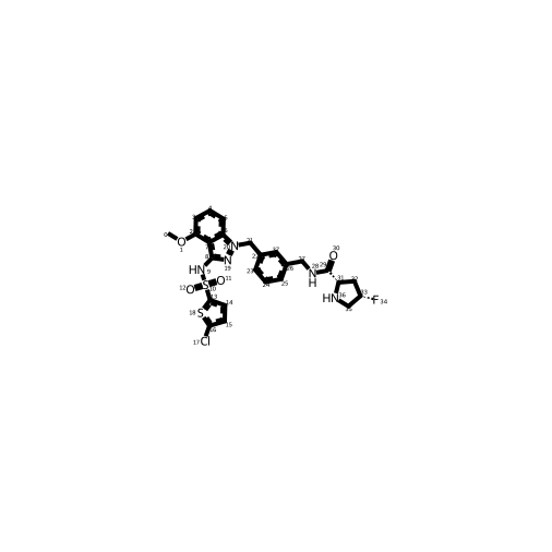 COc1cccc2c1c(NS(=O)(=O)c1ccc(Cl)s1)nn2Cc1cccc(CNC(=O)[C@@H]2C[C@H](F)CN2)c1